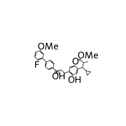 COC(=O)C(C)C(c1ccc(CC[C@@H](O)c2ccc(-c3cc(OC)ccc3F)cc2)c(O)c1)C1CC1